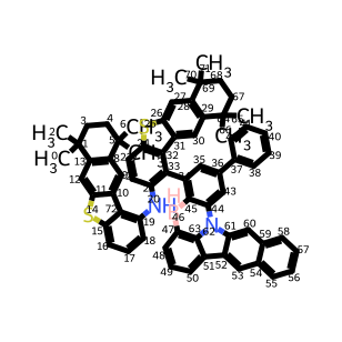 CC1(C)CCC(C)(C)c2cc3c(cc21)sc1cccc(Nc2ccc4sc5cc6c(cc5c4c2-c2cc(-c4ccccc4)cc4c2Bc2cccc5c7cc8ccccc8cc7n-4c25)C(C)(C)CCC6(C)C)c13